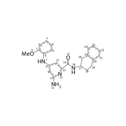 COc1ccccc1Nc1cc(N)nc(C(=O)NC2CCc3ccccc3C2)c1